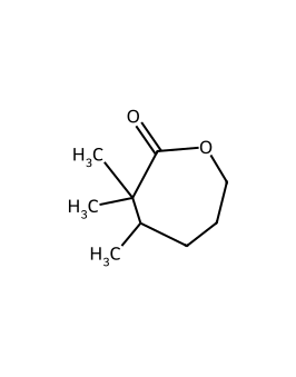 CC1CCCOC(=O)C1(C)C